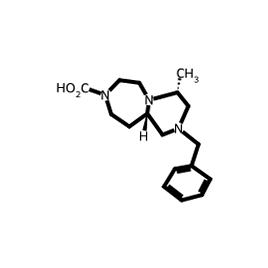 C[C@@H]1CN(Cc2ccccc2)C[C@@H]2CCN(C(=O)O)CCN21